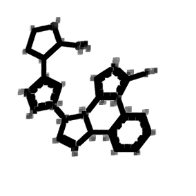 CC1OCCC1c1cn(N2C=NC3c4ccccc4-n4c(cnc4F)N32)nn1